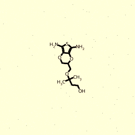 CC(C)(CCO)OCC1COc2c(N)sc(N)c2O1